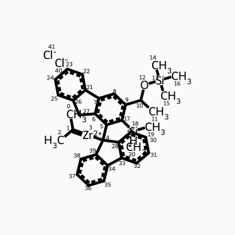 C[C](C)=[Zr+2][C]1(c2c3c(cc(C(C)O[Si](C)(C)C)c2[SiH](C)C)-c2ccccc2C3)c2ccccc2-c2ccccc21.[Cl-].[Cl-]